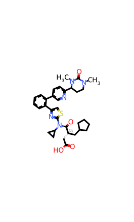 CN1CCC(c2ccc(-c3ccccc3-c3csc(N(C(=O)[C@@H](CC(=O)O)CC4CCCC4)C4CC4)n3)cn2)N(C)C1=O